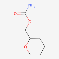 NC(=O)OCC1CCCCO1